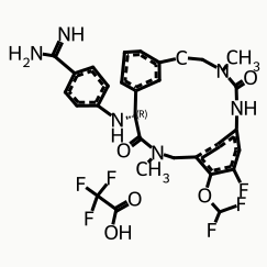 CN1CCc2cccc(c2)[C@@H](Nc2ccc(C(=N)N)cc2)C(=O)N(C)Cc2cc(cc(F)c2OC(F)F)NC1=O.O=C(O)C(F)(F)F